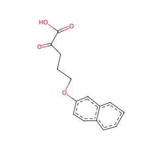 O=C(O)C(=O)CCCOc1ccc2ccccc2c1